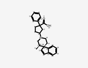 C[C@H]1CN(C2CCC(C(=O)O)(c3ccccc3)C2)CC[C@@]12C=Cc1ccccc12